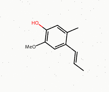 CC=Cc1cc(OC)c(O)cc1C